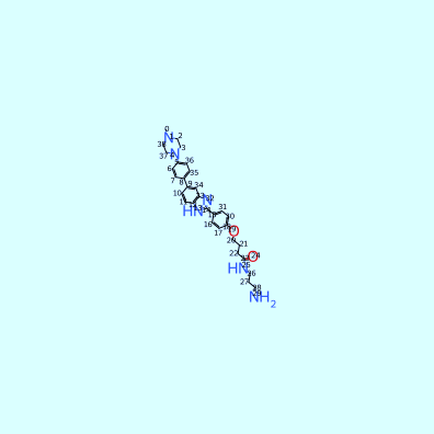 CN1CCN(c2ccc(-c3ccc4[nH]c(-c5ccc(OCCCC(=O)NCCCN)cc5)nc4c3)cc2)CC1